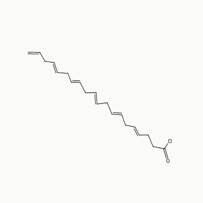 C=CCC=CCC=CCC=CCC=CCC=CCCC(=O)Cl